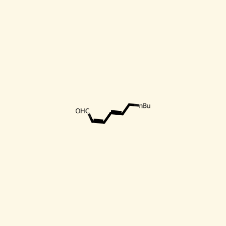 CCCCCC=C/C=C\C=O